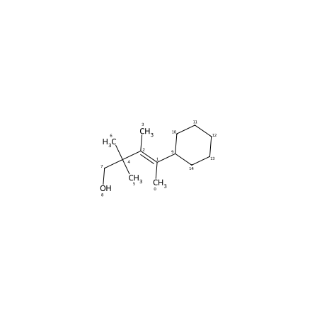 C/C(=C(/C)C(C)(C)CO)C1CCCCC1